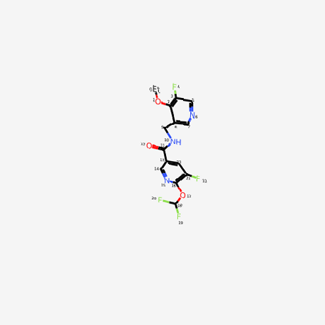 CCOc1c(F)cncc1CNC(=O)c1cnc(OC(F)F)c(F)c1